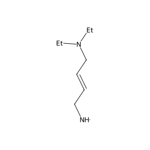 CCN(CC)CC=CC[NH]